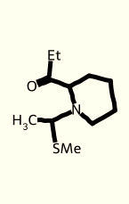 CCC(=O)C1CCCCN1C(C)SC